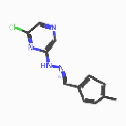 Cc1ccc(/C=N/Nc2cncc(Cl)n2)cc1